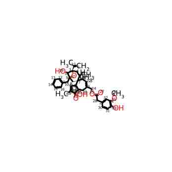 C=C(C)[C@@]12C[C@@H](C)[C@@]3(CC(Cc4ccccc4)(O1)C2O)[C@H](C)C=C(COC(=O)Cc1ccc(O)c(OC)c1)C[C@]1(O)C(=O)C(C)=C[C@@H]31